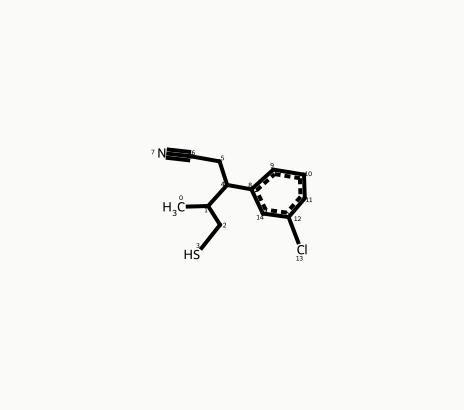 CC(CS)C(CC#N)c1cccc(Cl)c1